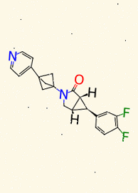 O=C1[C@H]2[C@@H](CN1C13CC(c4ccncc4)(C1)C3)[C@@H]2c1ccc(F)c(F)c1